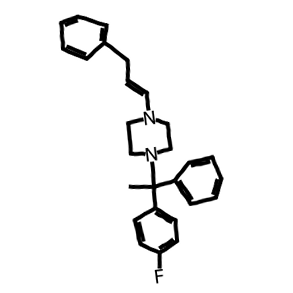 CC(c1ccccc1)(c1ccc(F)cc1)N1CCN(/C=C/Cc2ccccc2)CC1